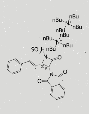 CCCC[N+](CCCC)(CCCC)CCCC.CCCC[N+](CCCC)(CCCC)CCCC.O=C1c2ccccc2C(=O)N1[C@H]1C(=O)N(S(=O)(=O)O)[C@H]1C=Cc1ccccc1